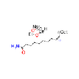 CCCCCCCC/C=C\CCCCCCCC(N)=O.CCOCC.O=S(=O)([O-])O.[Na+]